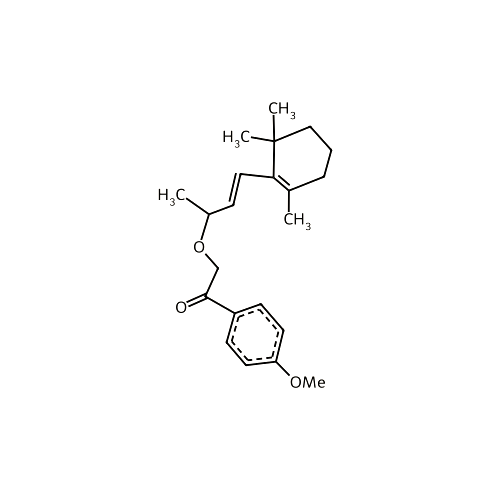 COc1ccc(C(=O)COC(C)/C=C/C2=C(C)CCCC2(C)C)cc1